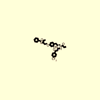 C=CC(=O)NC[C@H](Cc1ccc(OCCc2nc(-c3ccccc3)oc2C)cc1)N/C(C)=C\C(=O)c1ccc(C(F)(F)F)cc1